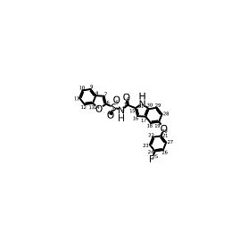 O=C(NS(=O)(=O)c1cc2ccccc2o1)c1cc2cc(Oc3ccc(F)cc3)ccc2[nH]1